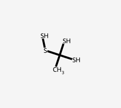 CC(S)(S)SS